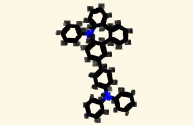 c1ccc(N(c2ccccc2)c2ccc(-c3ccc4c(c3)-c3ccccc3-c3ccccc3N4c3ccccc3)cc2)cc1